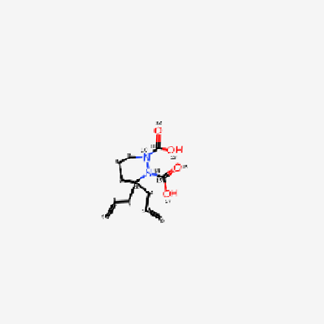 C=CCC1(CC=C)CCCN(C(=O)O)N1C(=O)O